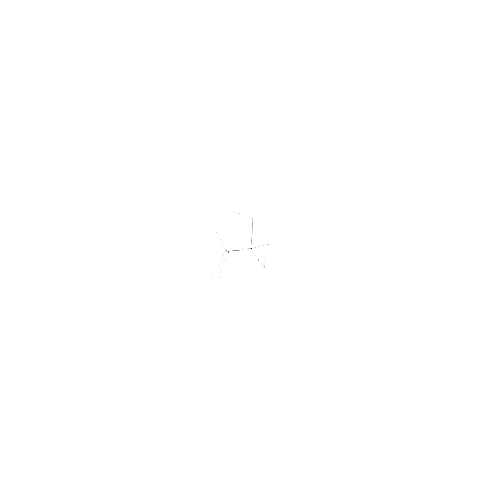 CC1(N)CCCC1=O